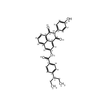 CCN(CC)c1ccc(C(=O)Oc2cc3c4c(cccc4c2)C(=O)N(c2ccc(O)cc2)C3=O)cc1